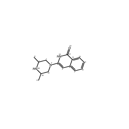 CC1CN(c2cc3ccccc3c(=O)[nH]2)CC(C)N1